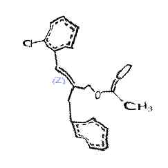 CC(=O)OC/C(=C\c1ccccc1Cl)Cc1ccccc1